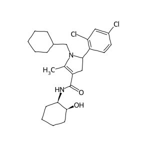 CC1=C(C(=O)N[C@@H]2CCCC[C@@H]2O)CC(c2ccc(Cl)cc2Cl)N1CC1CCCCC1